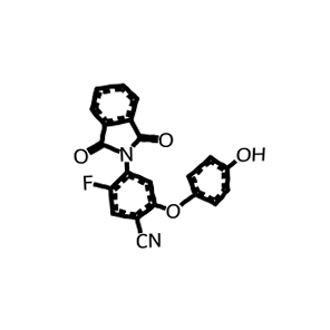 N#Cc1cc(F)c(N2C(=O)c3ccccc3C2=O)cc1Oc1ccc(O)cc1